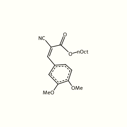 CCCCCCCCOC(=O)C(C#N)=Cc1ccc(OC)c(OC)c1